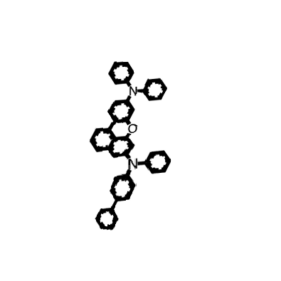 c1ccc(-c2ccc(N(c3ccccc3)c3cc4c5c(cccc5c3)-c3ccc(N(c5ccccc5)c5ccccc5)cc3O4)cc2)cc1